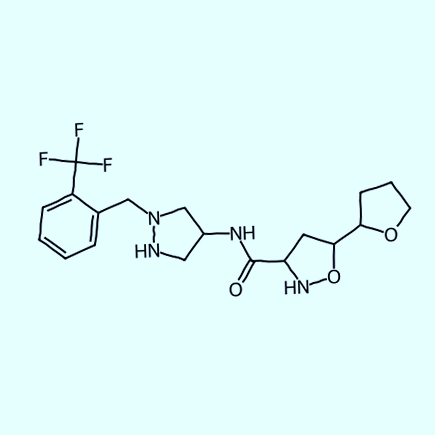 O=C(NC1CNN(Cc2ccccc2C(F)(F)F)C1)C1CC(C2CCCO2)ON1